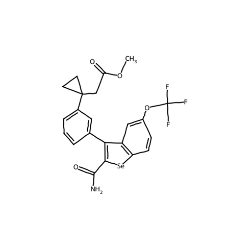 COC(=O)CC1(c2cccc(-c3c(C(N)=O)[se]c4ccc(OC(F)(F)F)cc34)c2)CC1